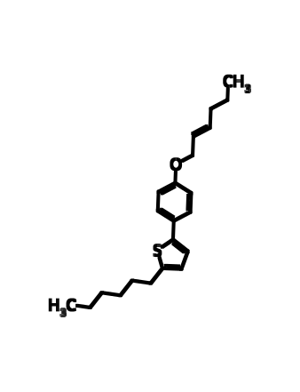 CCCC=CCOc1ccc(-c2ccc(CCCCCC)s2)cc1